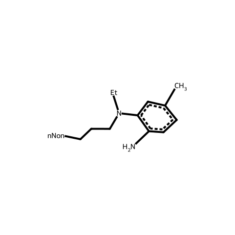 CCCCCCCCCCCCN(CC)c1cc(C)ccc1N